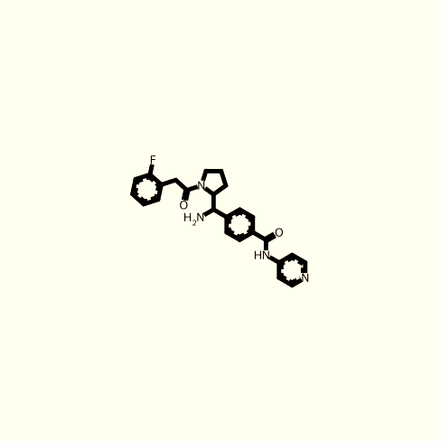 NC(c1ccc(C(=O)Nc2ccncc2)cc1)C1CCCN1C(=O)Cc1ccccc1F